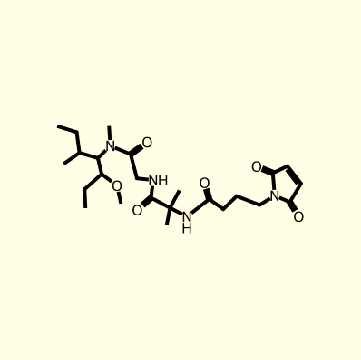 CCC(C)C(C(CC)OC)N(C)C(=O)CNC(=O)C(C)(C)NC(=O)CCCN1C(=O)C=CC1=O